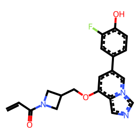 C=CC(=O)N1CC(COc2cc(-c3ccc(O)c(F)c3)cn3cncc23)C1